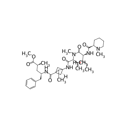 CC[C@H](C)[C@H](NC(=O)[C@H]1CCCCN1C)C(=O)N(C)[C@H](C(=O)NC12CC(C(=O)N[C@@H](Cc3ccccc3)C[C@H](C)C(=O)OC)(C1)[C@@H]2C)C(C)C